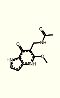 COc1[nH]c2cc[nH]c2c(=O)c1CNC(C)=O